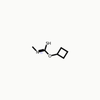 C/N=C(\S)OC1CCC1